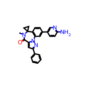 CN1C(=O)c2cc(-c3ccccc3)nn2-c2cc(-c3ccc(N)nc3)ccc2C12CC2